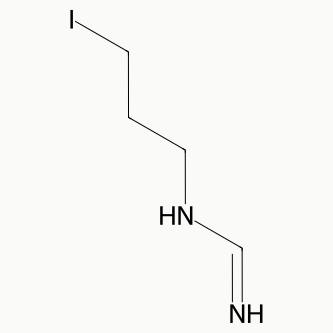 N=CNCCCI